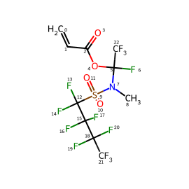 C=CC(=O)OC(F)(N(C)S(=O)(=O)C(F)(F)C(F)(F)C(F)(F)C(F)(F)F)C(F)(F)F